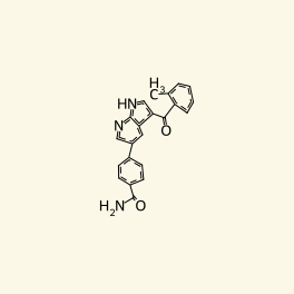 Cc1ccccc1C(=O)c1c[nH]c2ncc(-c3ccc(C(N)=O)cc3)cc12